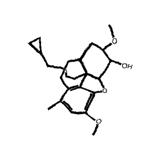 COc1cc(C)c2c3c1OC1C(O)C(OC)CC4C(C2)N(CC2CC2)CCC341